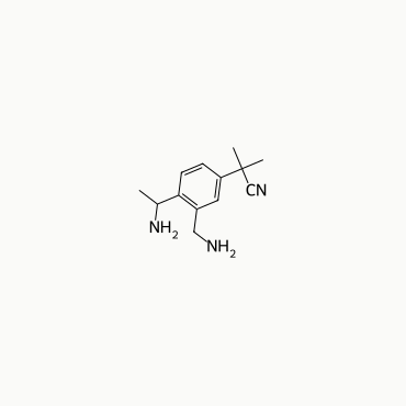 CC(N)c1ccc(C(C)(C)C#N)cc1CN